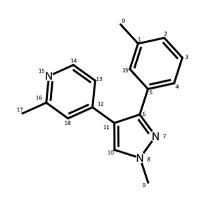 Cc1cccc(-c2nn(C)cc2-c2ccnc(C)c2)c1